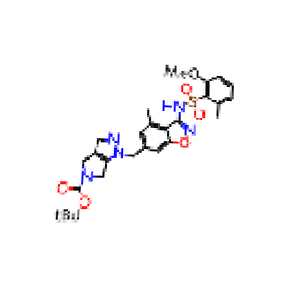 COc1cccc(C)c1S(=O)(=O)Nc1noc2cc(Cn3ncc4c3CN(C(=O)OC(C)(C)C)C4)cc(C)c12